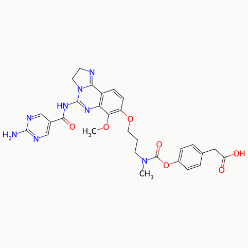 COc1c(OCCCN(C)C(=O)Oc2ccc(CC(=O)O)cc2)ccc2c1N=C(NC(=O)c1cnc(N)nc1)N1CCN=C21